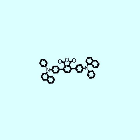 O=C1OC(=O)c2c(-c3ccc(N(c4ccccc4)c4cccc5ccccc45)cc3)ccc(-c3ccc(N(c4ccccc4)c4cccc5ccccc45)cc3)c21